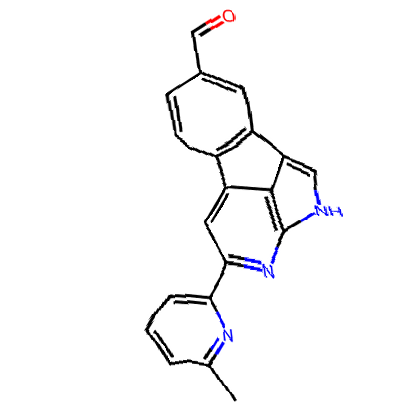 Cc1cccc(-c2cc3c4c(c[nH]c4n2)-c2cc(C=O)ccc2-3)n1